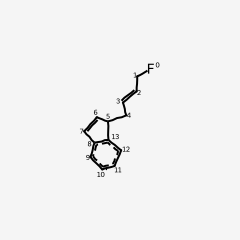 FCC=CCC1C=Cc2c[c]ccc21